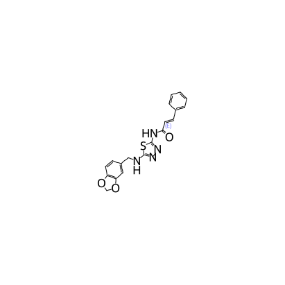 O=C(/C=C/c1ccccc1)Nc1nnc(NCc2ccc3c(c2)OCO3)s1